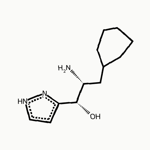 N[C@H](CC1CCCCC1)[C@H](O)c1cc[nH]n1